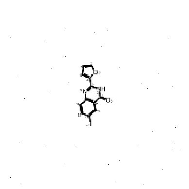 O=c1[nH]c(-c2ccco2)nc2ccc(I)cc12